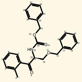 [CH2]c1ccccc1C(=O)[C@H](COCc1ccccc1)NC(=O)OCc1ccccc1